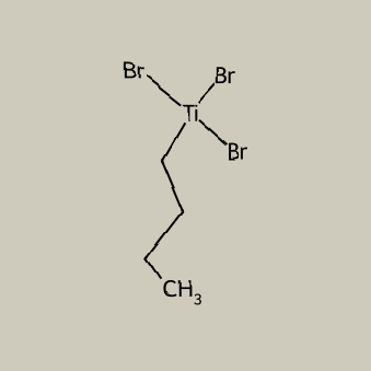 CCC[CH2][Ti]([Br])([Br])[Br]